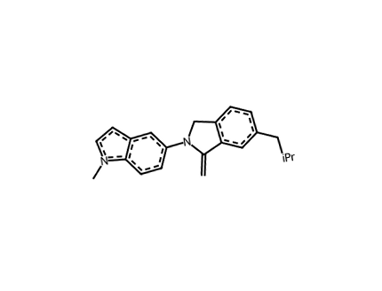 C=C1c2cc(CC(C)C)ccc2CN1c1ccc2c(ccn2C)c1